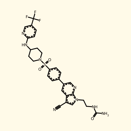 N#Cc1cn(CCNC(N)=O)c2ncc(-c3ccc(S(=O)(=O)N4CCC(Nc5ccc(C(F)(F)F)cn5)CC4)cc3)cc12